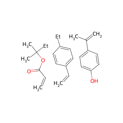 C=C(C)c1ccc(O)cc1.C=CC(=O)OC(C)(C)CC.C=Cc1ccc(CC)cc1